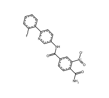 NC(=O)c1ccc(C(=O)Nc2ccc(-c3ccccc3F)nc2)cc1[N+](=O)[O-]